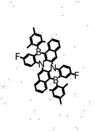 Cc1cc(C)c(B2c3cc(F)ccc3N3c4cc5ccccc5c5c4N(c4ccc(F)cc4B5c4c(C)cc(C)cc4C)c4cc5ccccc5c2c43)c(C)c1